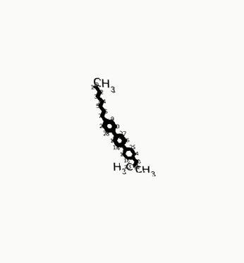 CCCCCCCCc1ccc(-c2ccc(C3CCC(CC(C)C)CC3)cc2)cc1